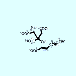 O=C([O-])/C=C/C(=O)[O-].O=C([O-])CC(O)(CC(=O)[O-])C(=O)O.[Na+].[Na+].[Na+].[Na+]